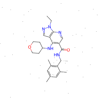 CCn1ncc2c(NC3CCOCC3)c(C(=O)N[C@H](C)c3c(C)cc(C)cc3C)cnc21